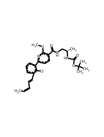 C/C=C\C=C\c1cccc(-c2ccc(C(=O)NC[C@H](C)NC(=O)OC(C)(C)C)c(OC)n2)c1Cl